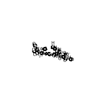 Cc1ccccc1[C@@H]1CN(Cc2cnc(N3CCOCC3)c3c2C(C)(C)CCO3)CCN1C1CC2(CCN(c3ccc(C(=O)NS(=O)(=O)c4cc5c(c([N+](=O)[O-])c4)N[C@H](C4CCOCC4)CO5)c(N4c5cc6cc[nH]c6nc5O[C@H]5COCC[C@@H]54)c3)CC2)C1